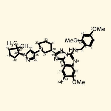 COc1ccc(CNc2nc3cc(OC)c(F)cc3c3nc([C@@H]4CCCN(c5cnn(C6CCCC6(C)O)c5)C4)nn23)c(OC)c1